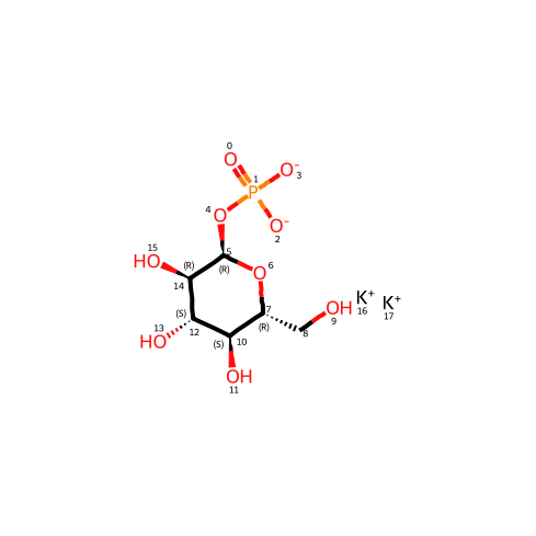 O=P([O-])([O-])O[C@H]1O[C@H](CO)[C@@H](O)[C@H](O)[C@H]1O.[K+].[K+]